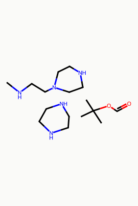 C1CNCCN1.CC(C)(C)OC=O.CNCCN1CCNCC1